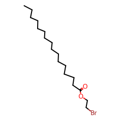 CCCCCCCCCCCCCCCC(=O)OCCBr